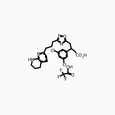 O=C(O)C(F)(F)F.O=C(O)CC(Cc1nc(CCCc2ccc3c(n2)NCCC3)no1)c1cc(Cl)cc(Cl)c1